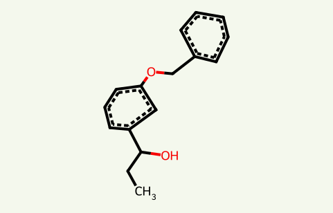 CCC(O)c1cccc(OCc2ccccc2)c1